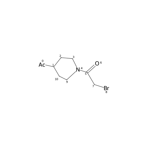 CC(=O)C1CCN(C(=O)CBr)CC1